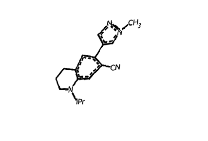 CC(C)N1CCCc2cc(-c3cnn(C)c3)c(C#N)cc21